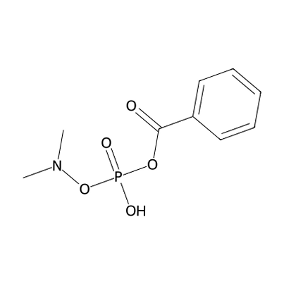 CN(C)OP(=O)(O)OC(=O)c1ccccc1